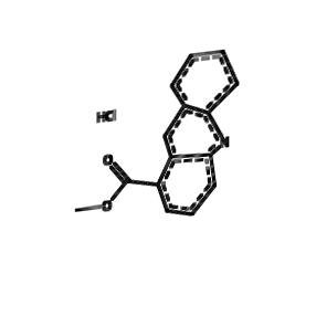 COC(=O)c1cccc2nc3ccccc3cc12.Cl